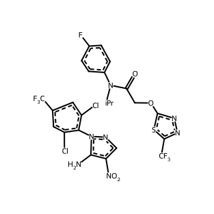 CC(C)N(C(=O)COc1nnc(C(F)(F)F)s1)c1ccc(F)cc1.Nc1c([N+](=O)[O-])cnn1-c1c(Cl)cc(C(F)(F)F)cc1Cl